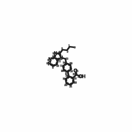 CCCCc1nc2nnccc2n1Cc1ccc(-c2ccccc2C(=O)O)cc1